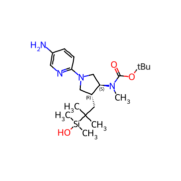 CN(C(=O)OC(C)(C)C)[C@@H]1CN(c2ccc(N)cn2)C[C@H]1CC(C)(C)[Si](C)(C)O